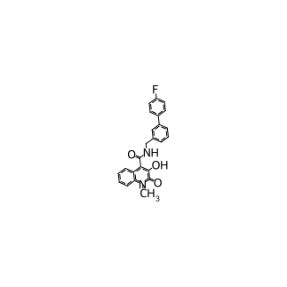 Cn1c(=O)c(O)c(C(=O)NCc2cccc(-c3ccc(F)cc3)c2)c2ccccc21